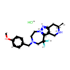 COc1ccc(CN2CCn3nc4c(c3C(F)(F)C2)CN[C@H](C)C4)cc1.Cl